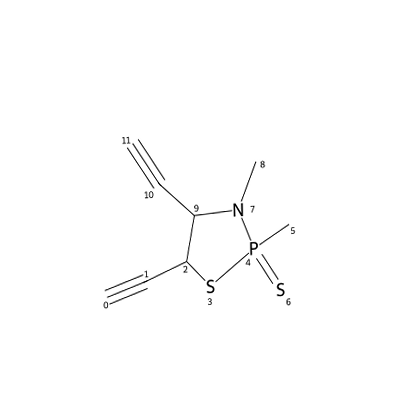 C#CC1SP(C)(=S)N(C)C1C#C